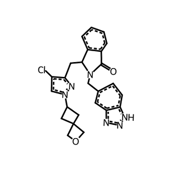 O=C1c2ccccc2C(Cc2nn(C3CC4(COC4)C3)cc2Cl)N1Cc1ccc2[nH]nnc2c1